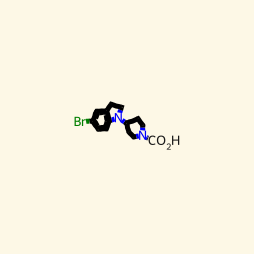 O=C(O)N1CCC(N2CCc3cc(Br)ccc32)CC1